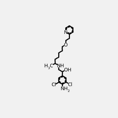 CC(CCCCCOCCc1ccccn1)NCC(O)c1cc(Cl)c(N)c(Cl)c1